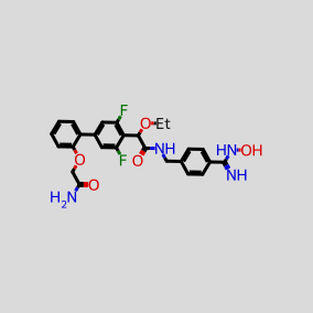 CCOC(C(=O)NCc1ccc(C(=N)NO)cc1)c1c(F)cc(-c2ccccc2OCC(N)=O)cc1F